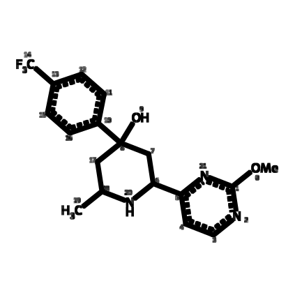 COc1nccc(C2CC(O)(c3ccc(C(F)(F)F)cc3)CC(C)N2)n1